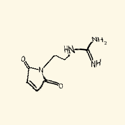 N=C(N)NCCN1C(=O)C=CC1=O